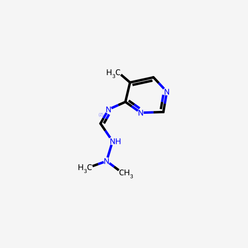 Cc1cncnc1/N=C\NN(C)C